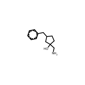 NCC1(O)CCC(Cc2ccccc2)C1